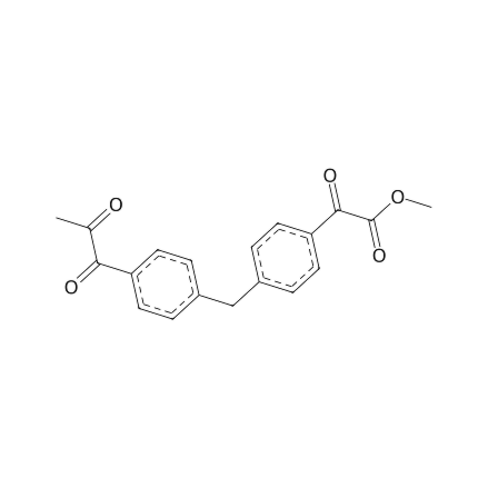 COC(=O)C(=O)c1ccc(Cc2ccc(C(=O)C(C)=O)cc2)cc1